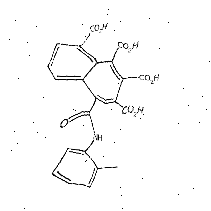 Cc1ccccc1NC(=O)c1c(C(=O)O)c(C(=O)O)c(C(=O)O)c2c(C(=O)O)cccc12